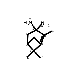 CC1=C2CC(CC1(N)N)C2(C)C